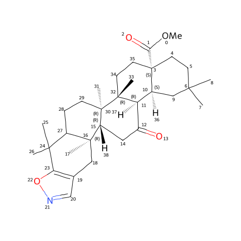 COC(=O)[C@]12CCC(C)(C)C[C@H]1[C@H]1C(=O)C[C@@H]3[C@@]4(C)Cc5cnoc5C(C)(C)C4CC[C@@]3(C)[C@]1(C)CC2